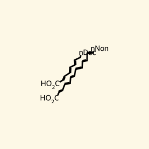 CCCCCCCCCC=CC=CC=CC=CC=CC=CC(=O)O.CCCCCCCCCCCC=CC=CC=CC(=O)O